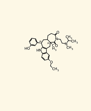 CCOc1ccc2[nH]c3c(c2c1)C[C@@]1(C)C(=O)N(CCN(C)C(C)C)C(=O)CCC1C[C@@H]3c1cccc(O)c1